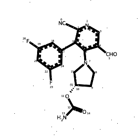 N#Cc1ncc(C=O)c(N2CC[C@H](OC(N)=O)C2)c1-c1cc(F)cc(F)c1